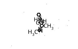 Cc1cnn(-c2cc(C)c(F)c(C(=O)NNSc3ccccc3)c2)c1